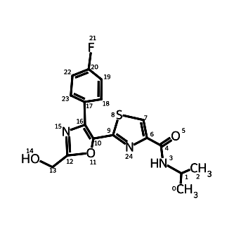 CC(C)NC(=O)c1csc(-c2oc(CO)nc2-c2ccc(F)cc2)n1